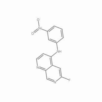 O=[N+]([O-])c1cccc(Nc2ccnc3cnc(F)cc23)c1